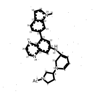 CC(=O)N1CCC(N2C=CC=C(Nc3cc(-c4ccc5ccn(C)c5c4)c4nccnc4c3)C2)C1